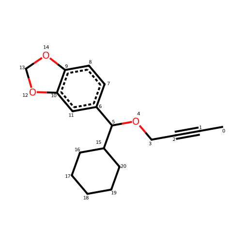 CC#CCOC(c1ccc2c(c1)OCO2)C1CCCCC1